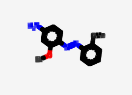 CCOc1cc(N)ccc1N=Nc1ccccc1OC